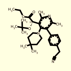 CCOC(=O)[C@@H](OC(C)(C)C)c1c(C)nc(C)c(-c2ccc(CC#N)cc2)c1N1CCC(C)(C)CC1